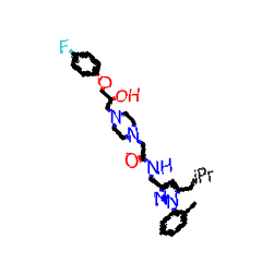 Cc1ccccc1-n1nc(CNC(=O)CN2CCN(CC(O)COc3ccc(F)cc3)CC2)cc1CC(C)C